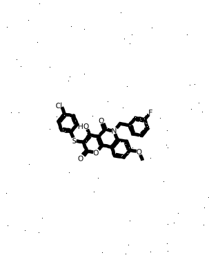 COc1ccc2c3oc(=O)c(Sc4ccc(Cl)cc4)c(O)c3c(=O)n(Cc3cccc(F)c3)c2c1